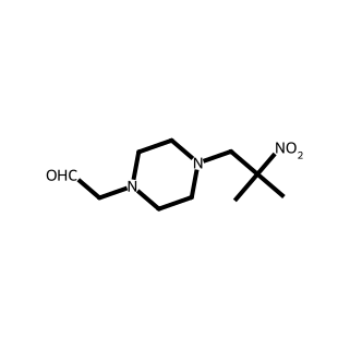 CC(C)(CN1CCN(CC=O)CC1)[N+](=O)[O-]